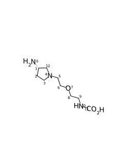 N[C@H]1CCN(CCOCCNC(=O)O)C1